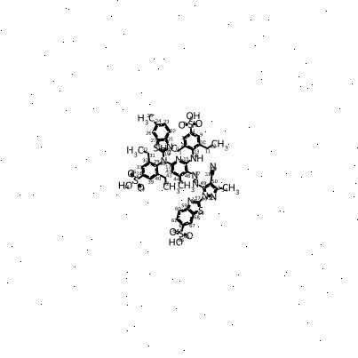 CCc1cc(S(=O)(=O)O)cc(CC)c1Nc1nc(N(c2nc3ccc(C)cc3s2)c2c(CC)cc(S(=O)(=O)O)cc2CC)cc(C)c1N=Nc1c(C#N)c(C)nn1-c1nc2ccc(S(=O)(=O)O)cc2s1